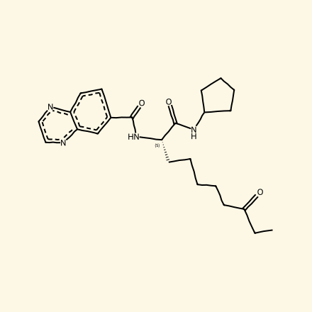 CCC(=O)CCCCC[C@H](NC(=O)c1ccc2nccnc2c1)C(=O)NC1CCCC1